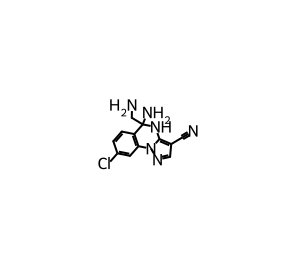 N#Cc1cnn2c1NC(N)(CN)c1ccc(Cl)cc1-2